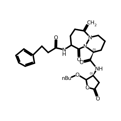 C=C1CCC(NC(=O)CCc2ccccc2)C(=O)N2[C@H](C(=O)N[C@H]3CC(=O)OC3OCCCC)CCCN12